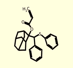 C=CC(=O)OC1(C(Sc2ccccc2)c2ccccc2)C2CC3CC(C2)CC1C3